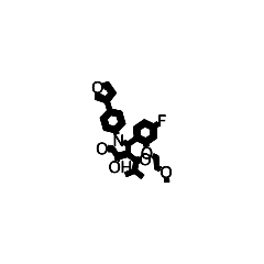 COCCOc1cc(F)ccc1C1C(C(=O)C(C)C)=C(O)C(=O)N1c1ccc(-c2ccoc2)cc1